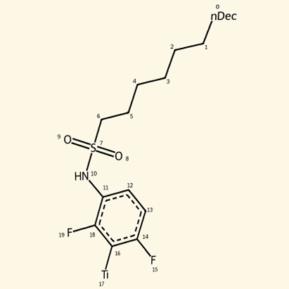 CCCCCCCCCCCCCCCCS(=O)(=O)Nc1ccc(F)[c]([Ti])c1F